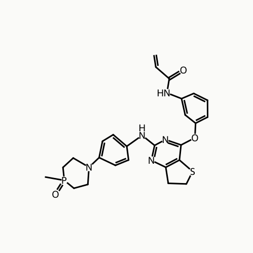 C=CC(=O)Nc1cccc(Oc2nc(Nc3ccc(N4CCP(C)(=O)CC4)cc3)nc3c2SCC3)c1